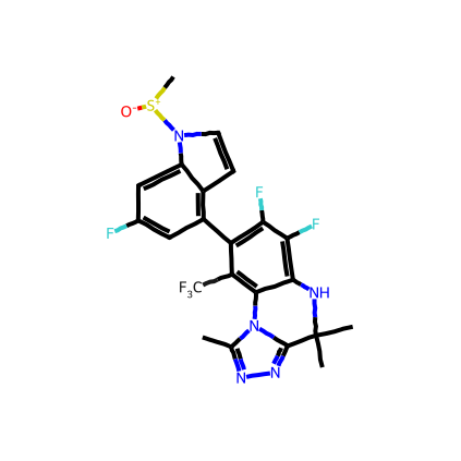 Cc1nnc2n1-c1c(c(F)c(F)c(-c3cc(F)cc4c3ccn4[S+](C)[O-])c1C(F)(F)F)NC2(C)C